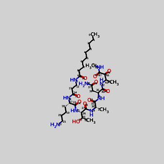 CCCCCCCCCC(=O)NCCC(=O)N[C@@H](CCCCN)C(=O)N[C@H](C(=O)N[C@@H](C)C(=O)N[C@@H](CC(N)=O)C(=O)NC(C)C(=O)C(=O)NC)[C@@H](C)O